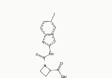 O=C(O)C1CCN1C(=O)Nc1cn2cc(I)ccc2n1